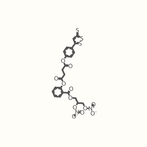 O=C(CCC(=O)Oc1ccccc1C(=O)OCC(CO[N+](=O)[O-])O[N+](=O)[O-])Oc1ccc(-c2cc(=S)ss2)cc1